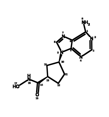 Nc1ncnc2c1ncn2[C@H]1CC[C@@H](C(=O)NO)C1